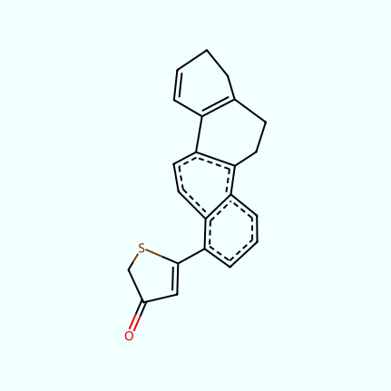 O=C1C=C(c2cccc3c4c(ccc23)C2=C(CCC=C2)CC4)SC1